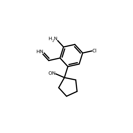 N=Cc1c(N)cc(Cl)cc1C1(N=O)CCCC1